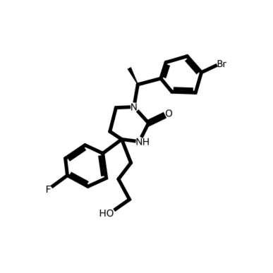 C[C@@H](c1ccc(Br)cc1)N1CCC(CCCO)(c2ccc(F)cc2)NC1=O